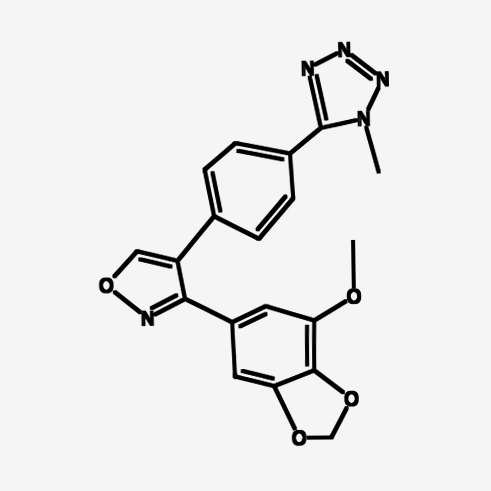 COc1cc(-c2nocc2-c2ccc(-c3nnnn3C)cc2)cc2c1OCO2